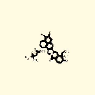 CC[C@@]1(O)C(=O)CCc2c1cc1n(c2=O)Cc2c-1nc1cc(F)c(Br)c3c1c2[C@H](NC(=O)CC(C)(C)C)CC3